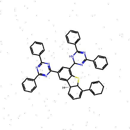 C1=C[C@H]2c3cc(-c4nc(-c5ccccc5)nc(-c5ccccc5)n4)cc(C4N=C(c5ccccc5)N=C(c5ccccc5)N4)c3SC2C(C2=CCCC=C2)=C1